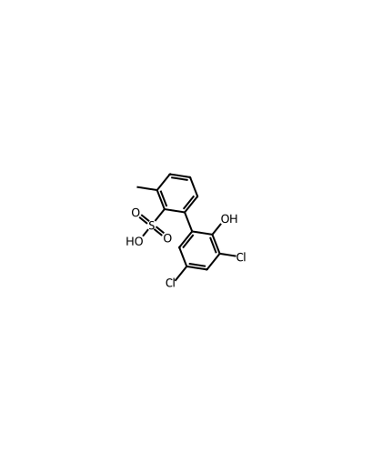 Cc1cccc(-c2cc(Cl)cc(Cl)c2O)c1S(=O)(=O)O